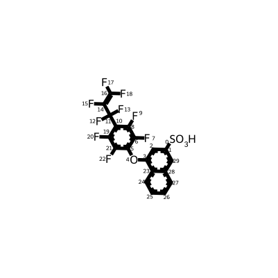 O=S(=O)(O)c1cc(Oc2c(F)c(F)c(C(F)(F)C(F)=C(F)F)c(F)c2F)c2ccccc2c1